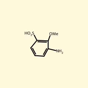 COc1c(N)cccc1S(=O)(=O)O